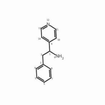 NC(Cc1ccccc1)c1ccncc1